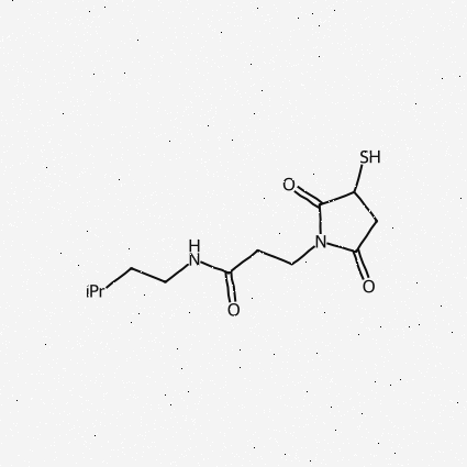 CC(C)CCNC(=O)CCN1C(=O)CC(S)C1=O